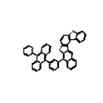 c1ccc(-c2c3ccccc3c(-c3cccc(-c4c5ccccc5cc5c4sc4ccc6sc7ccccc7c6c45)c3)c3ccccc23)cc1